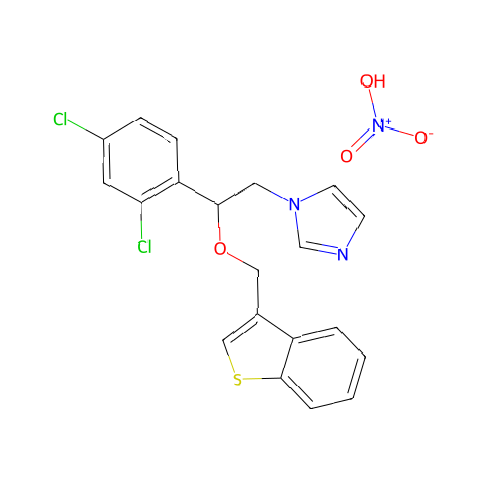 Clc1ccc(C(Cn2ccnc2)OCc2csc3ccccc23)c(Cl)c1.O=[N+]([O-])O